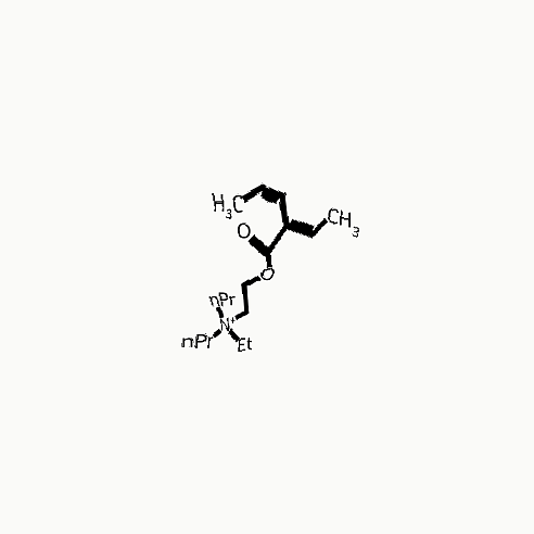 C/C=C\C(=C/C)C(=O)OCC[N+](CC)(CCC)CCC